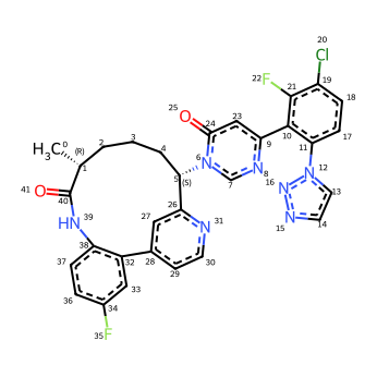 C[C@@H]1CCC[C@H](n2cnc(-c3c(-n4ccnn4)ccc(Cl)c3F)cc2=O)c2cc(ccn2)-c2cc(F)ccc2NC1=O